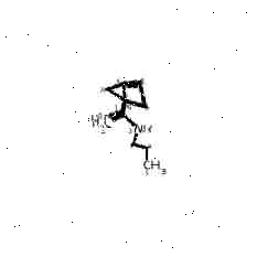 C=C(NCCC)C12CC=C1C2